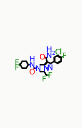 NC(=O)c1c(-c2ccc(F)c(Cl)c2)nn2c1CN(C(=O)NC1CCC(F)(F)CC1)CC2C(F)F